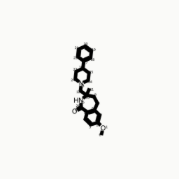 COc1ccc2c(c1)CCC(C)(CN1CCC(c3ccccc3)CC1)NC2=O